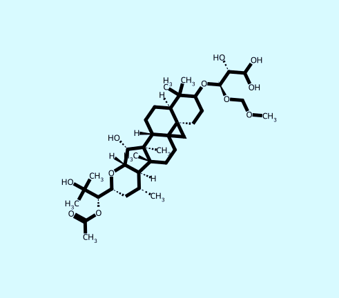 COCO[C@@H](OC1CC[C@]23CC24CC[C@]2(C)[C@@H]5[C@H](O[C@@H]([C@H](OC(C)=O)C(C)(C)O)C[C@H]5C)[C@H](O)[C@@]2(C)[C@@H]4CC[C@H]3C1(C)C)[C@H](O)C(O)O